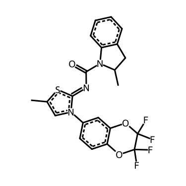 Cc1cn(-c2ccc3c(c2)OC(F)(F)C(F)(F)O3)c(=NC(=O)N2c3ccccc3CC2C)s1